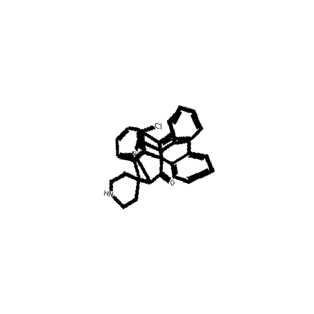 O=C1C2N(CCc3ccccc3)c3cc4c(Cl)c(c3C23CCNCC3)C12C4=CCc1ccccc12